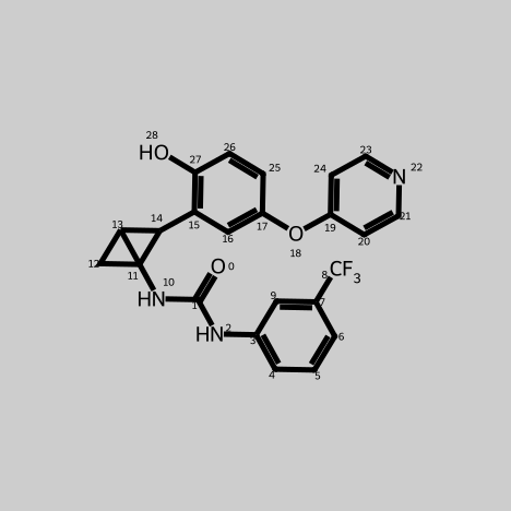 O=C(Nc1cccc(C(F)(F)F)c1)NC12CC1C2c1cc(Oc2ccncc2)ccc1O